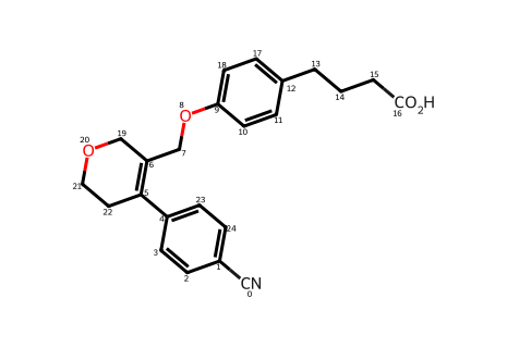 N#Cc1ccc(C2=C(COc3ccc(CCCC(=O)O)cc3)COCC2)cc1